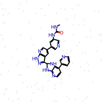 CNC(=O)Nc1cncc(-c2cnc3[nH]nc(C4Nc5nccc(-c6cccnc6)c5N4)c3c2)c1